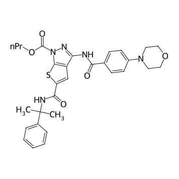 CCCOC(=O)n1nc(NC(=O)c2ccc(N3CCOCC3)cc2)c2cc(C(=O)NC(C)(C)c3ccccc3)sc21